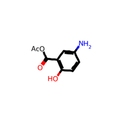 CC(=O)OC(=O)c1cc(N)ccc1O